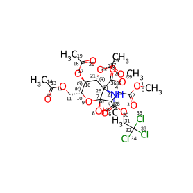 COC(=O)CC(C)[C@]1(O)O[C@H](COC(C)=O)[C@@H](OC(C)=O)[C@H](OC(C)=O)[C@]1(NC(=O)OCC(Cl)(Cl)Cl)C(=O)OC